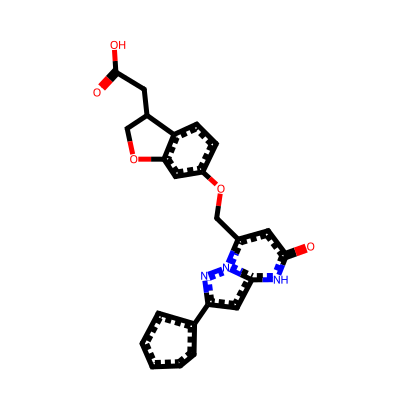 O=C(O)CC1COc2cc(OCc3cc(=O)[nH]c4cc(-c5ccccc5)nn34)ccc21